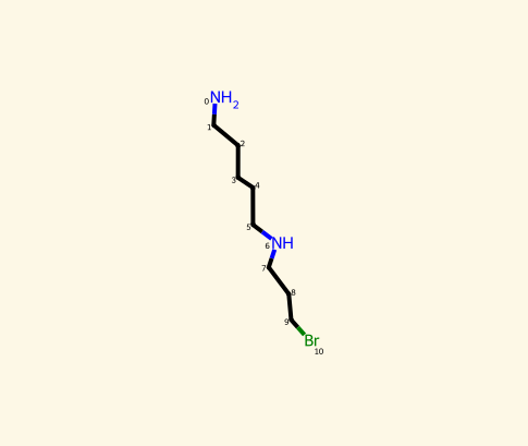 NCCCCCNCCCBr